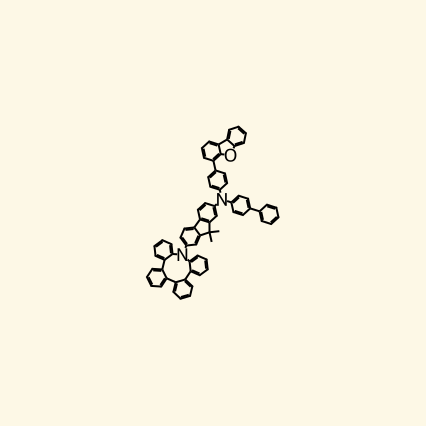 CC1(C)c2cc(N(c3ccc(-c4ccccc4)cc3)c3ccc(-c4cccc5c4oc4ccccc45)cc3)ccc2-c2ccc(-n3c4ccccc4c4ccccc4c4ccccc4c4ccccc43)cc21